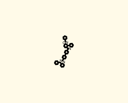 c1ccc(-c2nc3c(ccc4c(-c5ccc(-c6ccc(-c7nc(-c8ccccc8)c8ccccc8n7)cc6)cc5)nc5ccccc5c43)o2)cc1